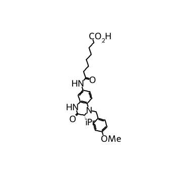 COc1ccc(CN2c3ccc(NC(=O)CCCCCCC(=O)O)cc3NC(=O)[C@H]2C(C)C)cc1